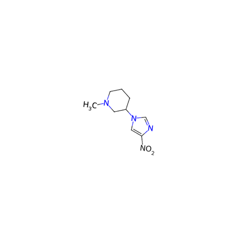 CN1CCCC(n2cnc([N+](=O)[O-])c2)C1